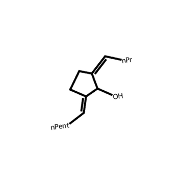 CCCC=C1CCC(=CCCCCC)C1O